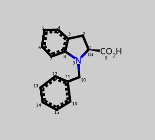 O=C(O)[C@@H]1Cc2ccccc2N1Cc1ccccc1